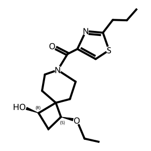 CCCc1nc(C(=O)N2CCC3(CC2)[C@H](O)C[C@@H]3OCC)cs1